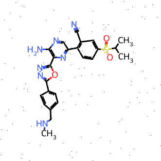 CNCc1ccc(-c2nnc(-c3nc(-c4ccc(S(=O)(=O)C(C)C)cc4C#N)cnc3N)o2)cc1